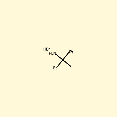 Br.CCC(C)(N)C(C)C